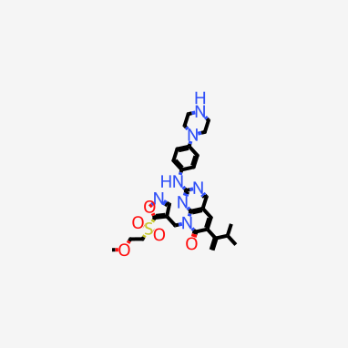 C=C(c1cc2cnc(Nc3ccc(N4CCNCC4)cc3)nc2n(Cc2cnoc2S(=O)(=O)CCOC)c1=O)C(C)C